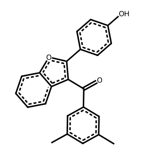 Cc1cc(C)cc(C(=O)c2c(-c3ccc(O)cc3)oc3ccccc23)c1